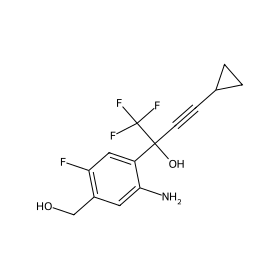 Nc1cc(CO)c(F)cc1C(O)(C#CC1CC1)C(F)(F)F